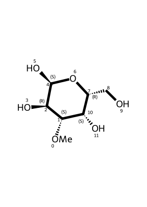 CO[C@@H]1[C@@H](O)[C@@H](O)O[C@H](CO)[C@@H]1O